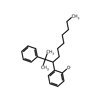 CCCCCCCC(c1ccccc1[O])C(C)(C)c1ccccc1